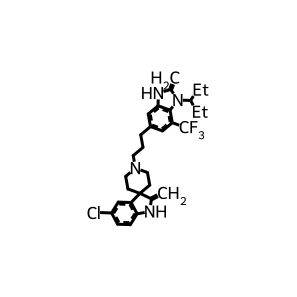 C=C1Nc2cc(CCCN3CCC4(CC3)C(=C)Nc3ccc(Cl)cc34)cc(C(F)(F)F)c2N1C(CC)CC